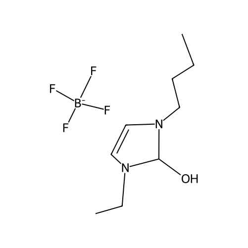 CCCCN1C=CN(CC)C1O.F[B-](F)(F)F